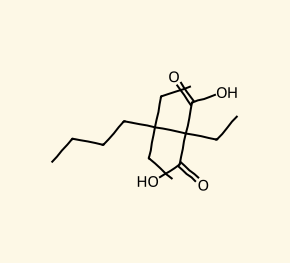 CCCCC(CC)(CC)C(CC)(C(=O)O)C(=O)O